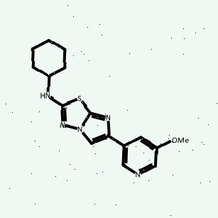 COc1cncc(-c2cn3nc(NC4CCCCC4)sc3n2)c1